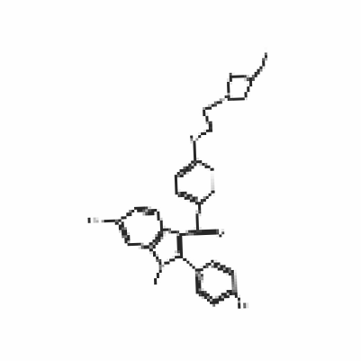 Cn1c(C2=C=C=C(O)C=C2)c(C(=O)C2=CC=C(OCCN3CC(CF)C3)CC2)c2ccc(O)cc21